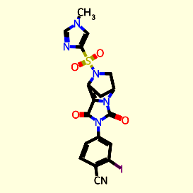 Cn1cnc(S(=O)(=O)N2CC3CC2=C2C(=O)N(c4ccc(C#N)c(I)c4)C(=O)N23)c1